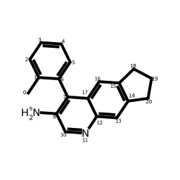 Cc1ccccc1-c1c(N)cnc2cc3c(cc12)CCC3